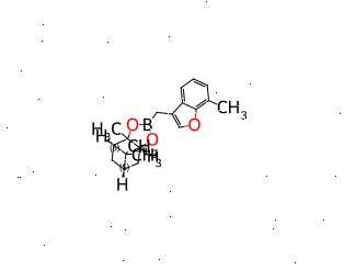 Cc1cccc2c(CB3O[C@@H]4C[C@@H]5C[C@@H](C5(C)C)C4(C)O3)coc12